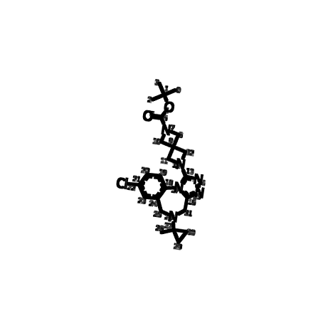 CC(C)(C)OC(=O)N1CC2(C1)CN(c1nnc3n1-c1ccc(Cl)cc1CN(C1(C)CC1)C3)C2